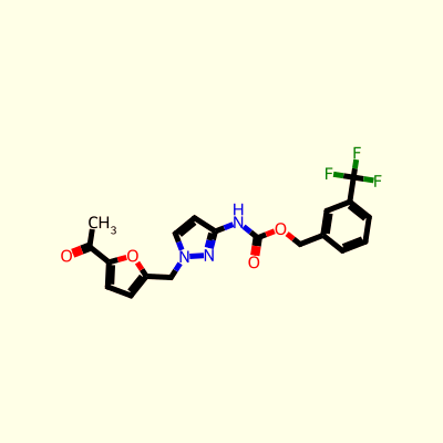 CC(=O)c1ccc(Cn2ccc(NC(=O)OCc3cccc(C(F)(F)F)c3)n2)o1